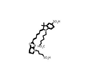 CC1(C)/C(=C/C=C/C=C/c2nc3c(ccc[n+]3CCCS(=O)(=O)O)o2)N(CCCCCC(=O)O)c2ccc(S(=O)(=O)O)cc21